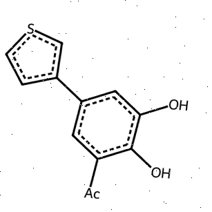 CC(=O)c1cc(-c2ccsc2)cc(O)c1O